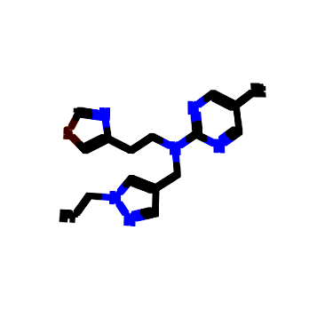 CCc1cnc(N(CCc2cs[c]n2)Cc2cnn(CC(C)C)c2)nc1